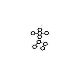 Nc1ccc2c(-c3ccccc3)c3ccccc3c(-c3ccccc3)c2c1.c1ccc(-c2cccc3c4ccccc4n(-c4ccccc4)c23)cc1